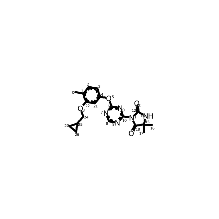 Cc1ccc(Oc2ncnc(N3C(=O)NC(C)(C)C3=O)n2)cc1OCC1CC1